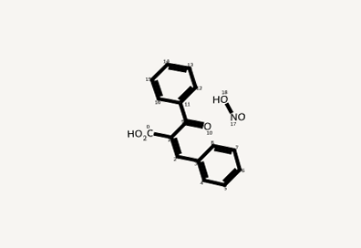 O=C(O)C(=Cc1ccccc1)C(=O)c1ccccc1.O=NO